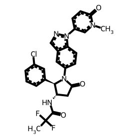 Cn1cc(-n2ncc3cc(N4C(=O)C[C@H](NC(=O)C(C)(F)F)[C@H]4c4cccc(Cl)c4)ccc32)ccc1=O